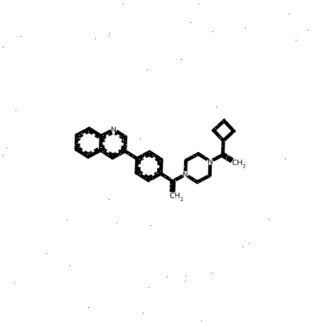 C=C(c1ccc(-c2cnc3ccccc3c2)cc1)N1CCN(C(=C)C2CCC2)CC1